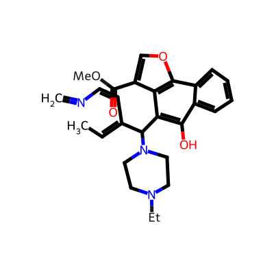 C=N/C=C\C(=C/C)C(c1c(O)c2ccccc2c2occ(C(=O)OC)c12)N1CCN(CC)CC1